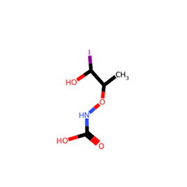 CC(ONC(=O)O)C(O)I